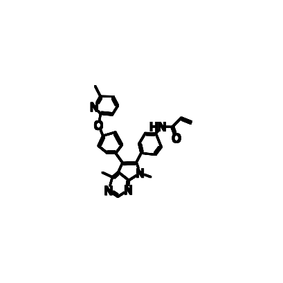 C=CC(=O)Nc1ccc(-c2c(-c3ccc(Oc4cccc(C)n4)cc3)c3c(C)ncnc3n2C)cc1